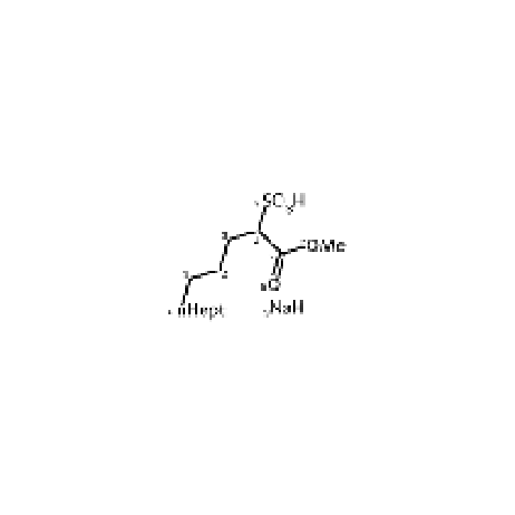 CCCCCCCCCCC(C(=O)OC)S(=O)(=O)O.[NaH]